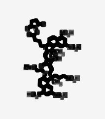 COCC[N+]1=C(/C=C2\C(=O)C(/C=C3/N(CCCC(=O)ON4C(=O)CCC4=O)c4ccc5c(S(=O)(=O)O)cc(S(=O)(=O)O)cc5c4C3(C)C)=C2O)C(C)(CCCS(=O)(=O)O)c2c1ccc1c(S(=O)(=O)O)cc(S(=O)(=O)O)cc21